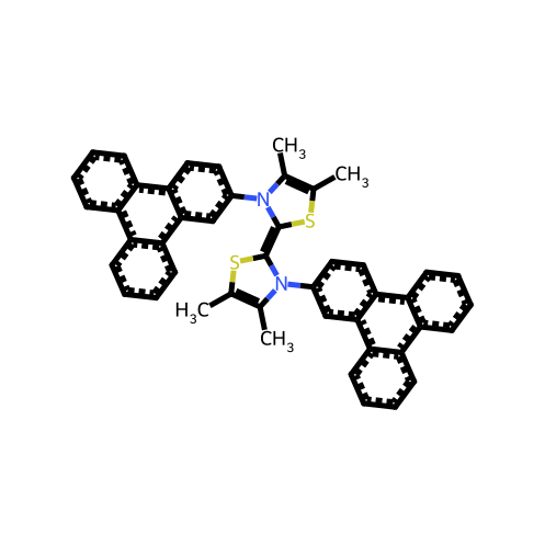 CC1=C(C)N(c2ccc3c4ccccc4c4ccccc4c3c2)/C(=C2\SC(C)=C(C)N2c2ccc3c4ccccc4c4ccccc4c3c2)S1